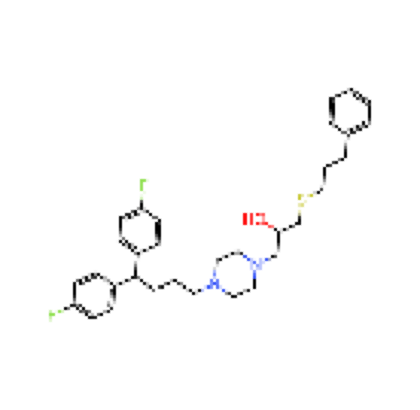 OC(CSCCCc1ccccc1)CN1CCN(CCCC(c2ccc(F)cc2)c2ccc(F)cc2)CC1